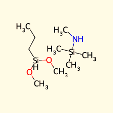 CCC[SiH](OC)OC.CN[Si](C)(C)C